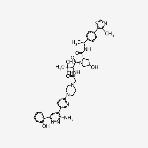 Cc1ncsc1-c1ccc([C@H](C)NC(=O)[C@@H]2C[C@@H](O)CN2C(=O)[C@@H](NC(=O)CN2CCN(c3ccc(-c4cc(-c5ccccc5O)nnc4N)cn3)CC2)C(C)(C)C)cc1